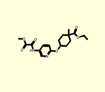 CCOC(=O)C1(C)CCC(Oc2ccc(NC(=O)C(=O)OC)cn2)CC1